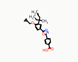 C=CCC(C)(CC)c1cc(-c2nnc(-c3ccc(C(=O)O)cc3)o2)ccc1OCC1CC1